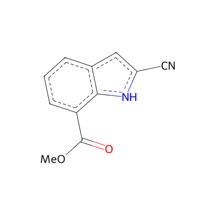 COC(=O)c1cccc2cc(C#N)[nH]c12